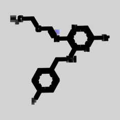 CCO/C=N/c1ncc(Br)nc1NCc1ccc(F)cc1